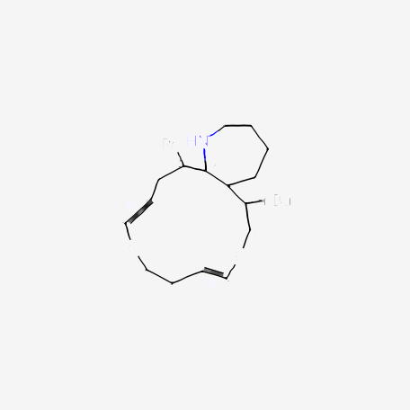 CCCCC1CC/C=C/CCC/C=C/CC(C(C)C)C2NCCCCC12